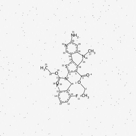 CCOC(=O)c1c(N(Cc2c(F)cccc2F)C(=O)OCC)sc2c1CN(C)c1cc(N)ncc1-2